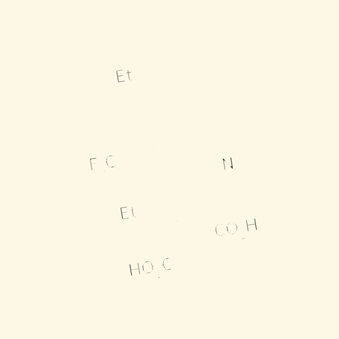 CCc1ccnc(C(CC)(C(=O)O)C(=O)O)c1C(F)(F)F